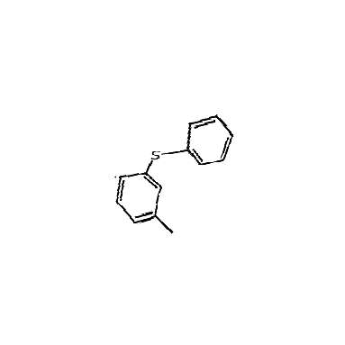 Cc1cc[c]c(Sc2ccccc2)c1